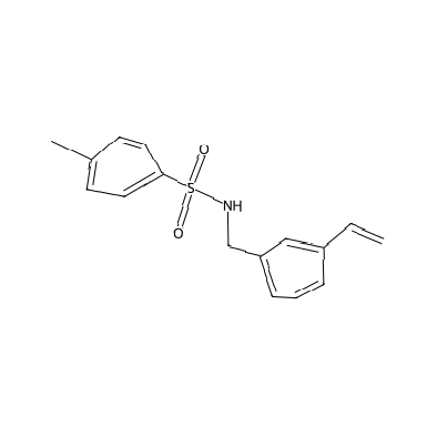 C=Cc1cccc(CNS(=O)(=O)c2ccc(C)cc2)c1